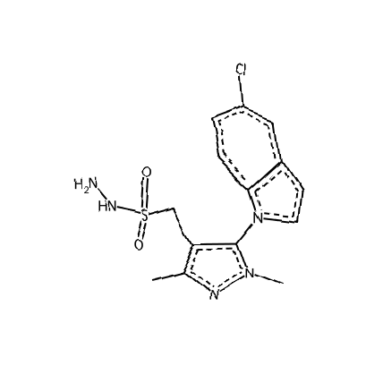 Cc1nn(C)c(-n2ccc3cc(Cl)ccc32)c1CS(=O)(=O)NN